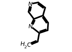 C=Cc1ccc2ccncc2n1